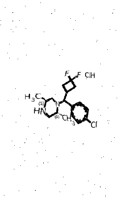 C[C@@H]1CN[C@@H](C)CN1C(c1ccc(Cl)cc1)C1CC(F)(F)C1.Cl